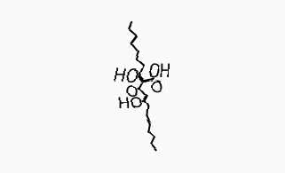 CCCCCCCC(O)=CC(=O)C(C(=O)O)=C(O)CCCCCCC